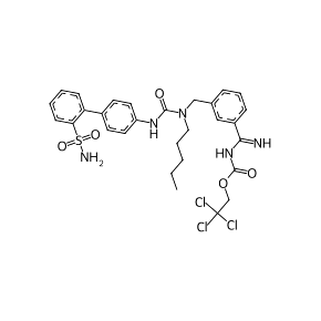 CCCCCN(Cc1cccc(C(=N)NC(=O)OCC(Cl)(Cl)Cl)c1)C(=O)Nc1ccc(-c2ccccc2S(N)(=O)=O)cc1